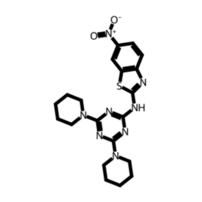 O=[N+]([O-])c1ccc2nc(Nc3nc(N4CCCCC4)nc(N4CCCCC4)n3)sc2c1